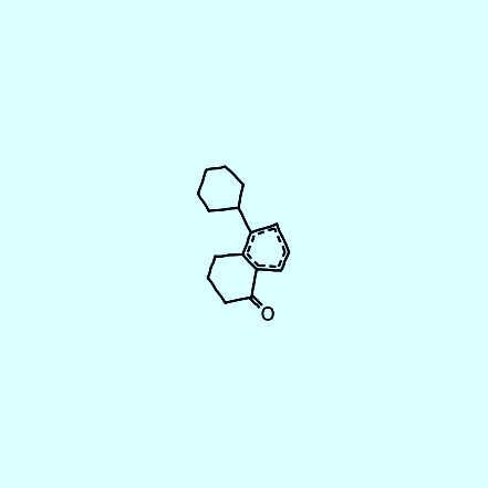 O=C1CCCc2c1cccc2C1CCCCC1